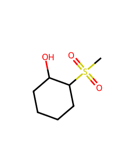 CS(=O)(=O)C1CCCCC1O